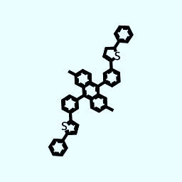 Cc1ccc2c(-c3cccc(-c4ccc(-c5ccccc5)s4)c3)c3cc(C)ccc3c(-c3cccc(C4=CCC(c5ccccc5)S4)c3)c2c1